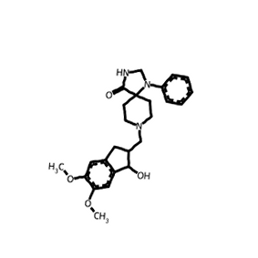 COc1cc2c(cc1OC)C(O)C(CN1CCC3(CC1)C(=O)NCN3c1ccccc1)C2